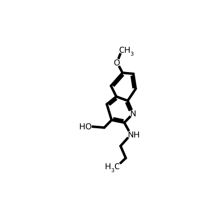 CCCNc1nc2ccc(OC)cc2cc1CO